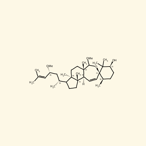 COC1O[C@]2(C=C[C@H]3[C@]4(C)CCC([C@H](C)C[C@H](C=C(C)C)OC)[C@@]4(C)CC[C@]13C)[C@H](C)CC[C@H](O)C2(C)C